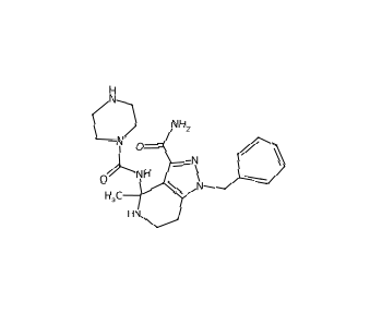 CC1(NC(=O)N2CCNCC2)NCCc2c1c(C(N)=O)nn2Cc1ccccc1